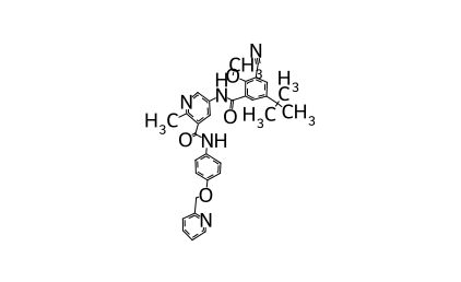 COc1c(C#N)cc(C(C)(C)C)cc1C(=O)Nc1cnc(C)c(C(=O)Nc2ccc(OCc3ccccn3)cc2)c1